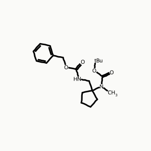 CN(C(=O)OC(C)(C)C)C1(CNC(=O)OCc2ccccc2)CCCC1